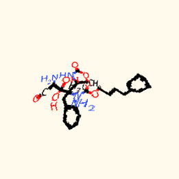 CC1(C)OC(=O)NC1C(Cc1ccccc1)(N(N)C(=O)OCCCCc1ccccc1)C(O)(O)C(N)=C=O